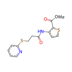 COC(=O)c1sccc1NC(=O)CCSc1ccccn1